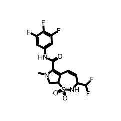 CN1CC2C(=C1C(=O)Nc1cc(F)c(F)c(F)c1)C=CC(C(F)F)NS2(=O)=O